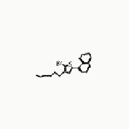 CCCCCCc1cc(-c2cccc3ccccc23)sc1Br